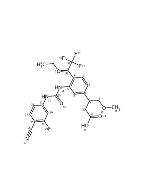 CCO[C@H](c1ccc(C(COC)CC(=O)O)cc1NC(=O)Nc1ccc(C#N)c(F)c1)C(F)(F)F